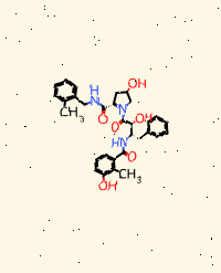 Cc1ccccc1CNC(=O)[C@@H]1C[C@@H](O)CN1C(=O)[C@@H](O)[C@H](Cc1ccccc1)NC(=O)c1cccc(O)c1C